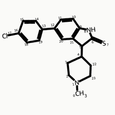 CN1CCC(C2C(=S)Nc3ccc(-c4ccc(Cl)cc4)cc32)CC1